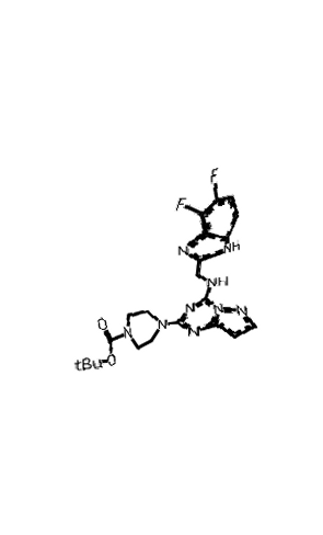 CC(C)(C)OC(=O)N1CCN(c2nc(NCc3nc4c(F)c(F)ccc4[nH]3)n3nccc3n2)CC1